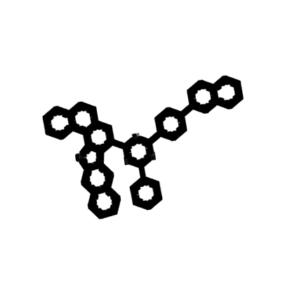 c1ccc(-c2nc(-c3ccc(-c4ccc5ccccc5c4)cc3)nc(-c3cc4ccc5ccccc5c4c4oc5cc6ccccc6cc5c34)n2)cc1